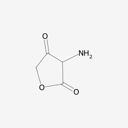 NC1C(=O)COC1=O